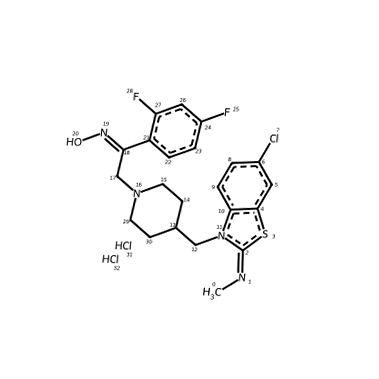 C/N=c1/sc2cc(Cl)ccc2n1CC1CCN(C/C(=N\O)c2ccc(F)cc2F)CC1.Cl.Cl